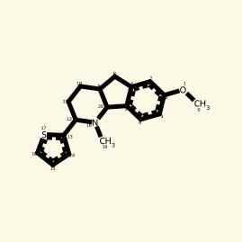 COc1ccc2c(c1)CC1CCC(c3cccs3)N(C)C21